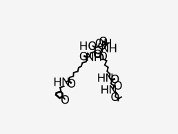 COc1cccc(CCNC(=O)CCCCCCCCC(=O)NCC2OC(OCCCCCCNC(=O)CC(=O)NCOC(C)C)C(NC(C)=O)C(O)C2O)c1